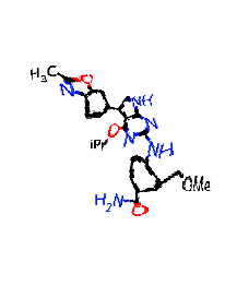 COCc1cc(C(N)=O)ccc1Nc1nc(OC(C)C)c2c(-c3ccc4nc(C)oc4c3)c[nH]c2n1